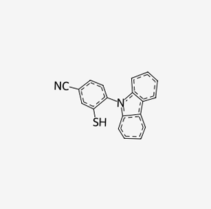 N#Cc1ccc(-n2c3ccccc3c3ccccc32)c(S)c1